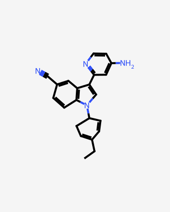 CCC1=CCC(n2cc(-c3cc(N)ccn3)c3cc(C#N)ccc32)C=C1